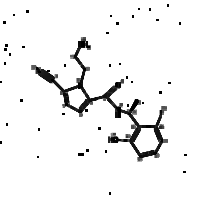 C[C@H](NC(=O)c1ccc(C#N)n1CCN)c1c(O)cccc1F